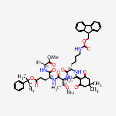 COC(=O)[C@@H](NC(=O)[C@H](CCC(=O)OC(C)(C)c1ccccc1)NC(=O)C(NC(=O)[C@H](CCCCNC(=O)OCC1c2ccccc2-c2ccccc21)NC(C)=C1C(=O)CC(C)(C)CC1=O)[C@@H](C)OC(C)(C)C)C(C)C